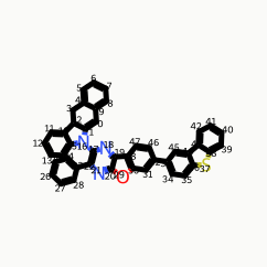 C1=C2C(Cc3ccccc31)c1ccccc1N2c1nc2c(nc1-c1ccccc1)oc1cc(-c3ccc4sc5ccccc5c4c3)ccc12